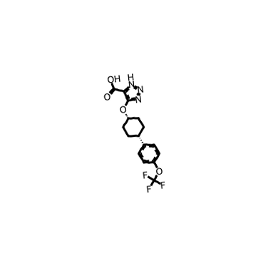 O=C(O)c1[nH]nnc1O[C@H]1CC[C@@H](c2ccc(OC(F)(F)F)cc2)CC1